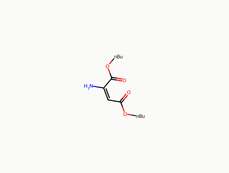 CCCCOC(=O)/C=C(/N)C(=O)OCCCC